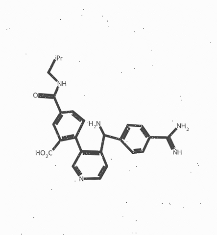 CC(C)CNC(=O)c1ccc(-c2cnccc2C(N)c2ccc(C(=N)N)cc2)c(C(=O)O)c1